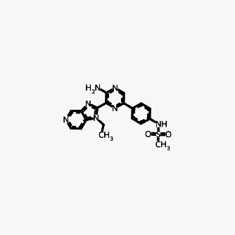 CCn1c(-c2nc(-c3ccc(NS(C)(=O)=O)cc3)cnc2N)nc2cnccc21